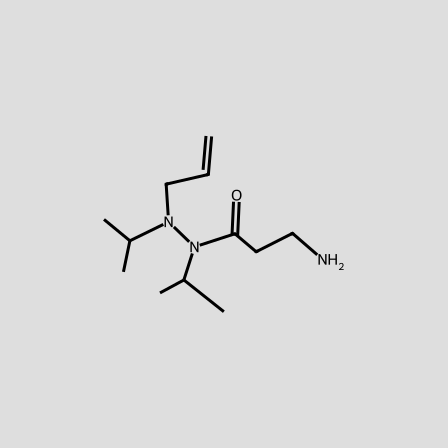 C=CCN(C(C)C)N(C(=O)CCN)C(C)C